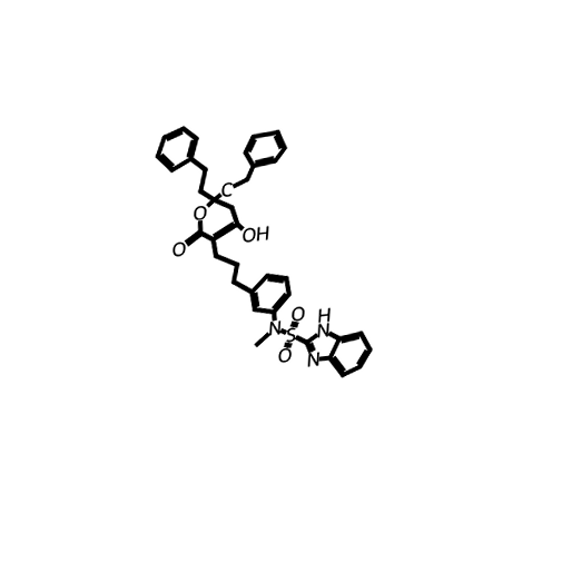 CN(c1cccc(CCCC2=C(O)CC(CCc3ccccc3)(CCc3ccccc3)OC2=O)c1)S(=O)(=O)c1nc2ccccc2[nH]1